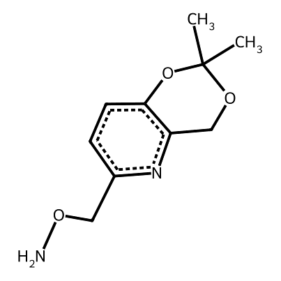 CC1(C)OCc2nc(CON)ccc2O1